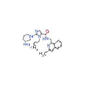 CCn1c(C(=O)NCc2nc(C)cc3ccccc23)cnc1N1CCCC(N)C1